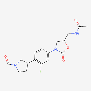 CC(=O)NCC1CN(c2ccc(C3CCN(C=O)C3)c(F)c2)C(=O)O1